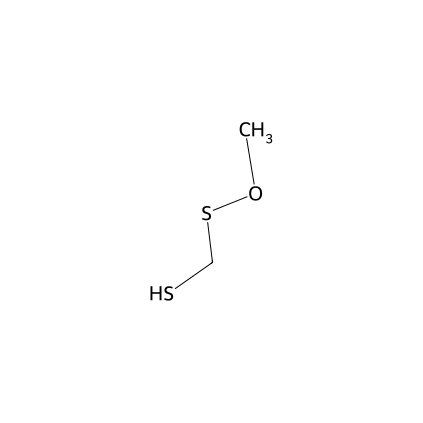 COSCS